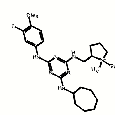 CC[N+]1(C)CCCC1CNc1nc(Nc2ccc(OC)c(F)c2)nc(NC2CCCCCC2)n1